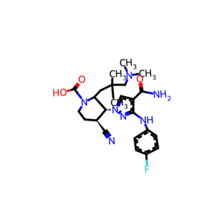 CN(C)CC(C)(C)CC1[C@H](n2cc(C(N)=O)c(Nc3ccc(F)cc3)n2)[C@@H](C#N)CCN1C(=O)O